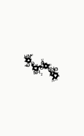 CNc1cc(OCc2cc(N)cc(COc3cc(NCC4Cc5c(C)cccc5N4C=O)c(C)cc3OC)c2)c(OC)cc1C